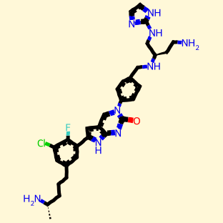 C[C@H](N)CCCc1cc(Cl)c(F)c(-c2cc3cn(-c4ccc(CN[C@H](CCN)CNc5ncc[nH]5)cc4)c(=O)nc3[nH]2)c1